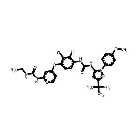 CCNC(=O)Nc1cc(Oc2ccc(NC(=O)Nc3cc(C(C)(C)C)nn3-c3ccc(OC)cc3)c(Cl)c2Cl)ccn1